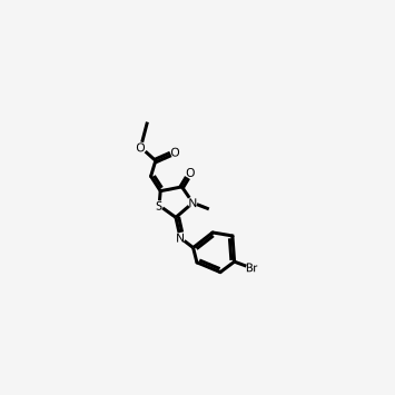 COC(=O)C=C1SC(=Nc2ccc(Br)cc2)N(C)C1=O